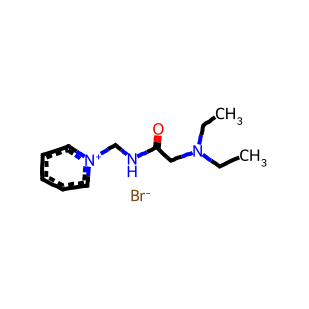 CCN(CC)CC(=O)NC[n+]1ccccc1.[Br-]